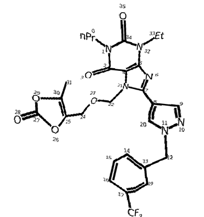 CCCn1c(=O)c2c(nc(-c3cnn(Cc4cccc(C(F)(F)F)c4)c3)n2COCc2oc(=O)oc2C)n(CC)c1=O